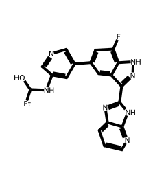 CCC(O)Nc1cncc(-c2cc(F)c3[nH]nc(-c4nc5cccnc5[nH]4)c3c2)c1